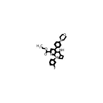 CCOC(=O)c1cc(-c2ccc(N3CCOCC3)cc2)c(C(=N)C2CCC2)c(Nc2cccc(F)c2)n1